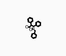 O=C1ON(Cc2ccccc2)C(c2ccccc2)C1c1ccccc1